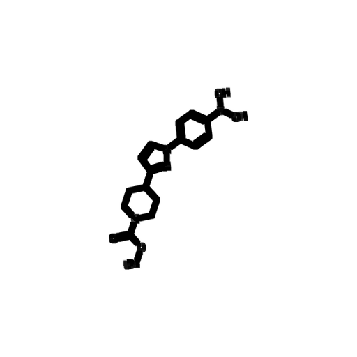 CC(C)(C)OC(=O)N1CCC(c2ccn(-c3ccc(B(O)O)cc3)n2)CC1